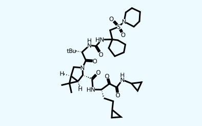 CC(C)(C)[C@H](NC(=O)NC1(CS(=O)(=O)N2CCCCC2)CCCCC1)C(=O)N1C[C@H]2[C@@H]([C@H]1C(=O)N[C@@H](CCC1CC1)C(=O)C(=O)NC1CC1)C2(C)C